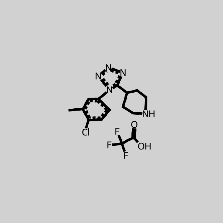 Cc1cc(-n2nnnc2C2CCNCC2)ccc1Cl.O=C(O)C(F)(F)F